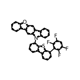 Fc1cc(F)c(F)c(-c2cccc3c2sc2c(-n4c5ccccc5c5cc6oc7ccccc7c6cc54)cccc23)c1F